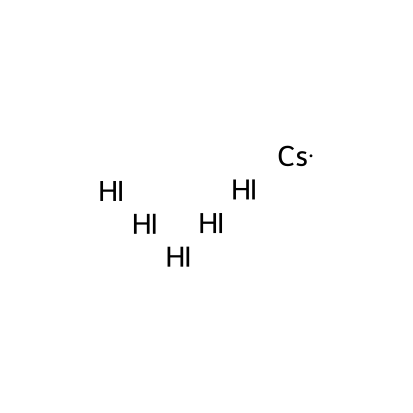 I.I.I.I.I.[Cs]